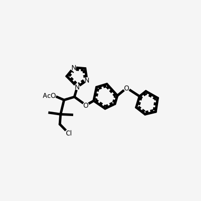 CC(=O)OC(C(Oc1ccc(Oc2ccccc2)cc1)n1cncn1)C(C)(C)CCl